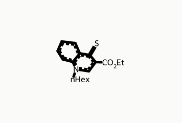 CCCCCCn1cc(C(=O)OCC)c(=S)c2ccccc21